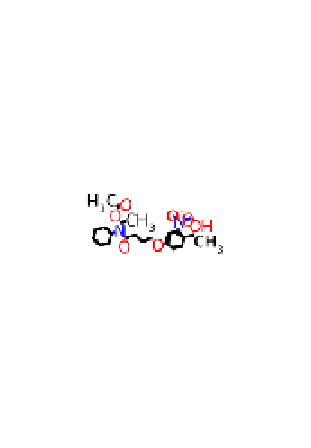 CC(=O)OC(C)N(C(=O)CCCOc1ccc(C(C)O)c([N+](=O)[O-])c1)C1CCCCC1